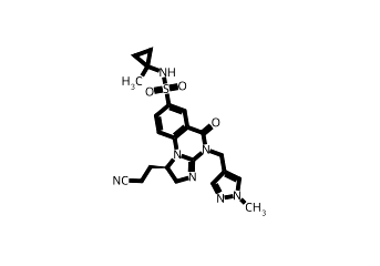 Cn1cc(CN2C(=O)c3cc(S(=O)(=O)NC4(C)CC4)ccc3N3C2=NC[C@H]3CCC#N)cn1